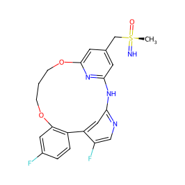 C[S@](=N)(=O)Cc1cc2nc(c1)OCCCOc1cc(F)ccc1-c1cc(ncc1F)N2